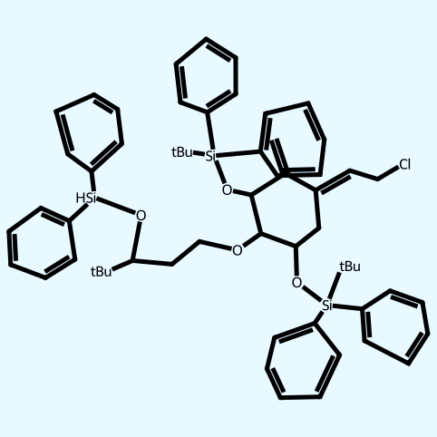 C=C1C(=CCCl)CC(O[Si](c2ccccc2)(c2ccccc2)C(C)(C)C)C(OCCC(O[SiH](c2ccccc2)c2ccccc2)C(C)(C)C)C1O[Si](c1ccccc1)(c1ccccc1)C(C)(C)C